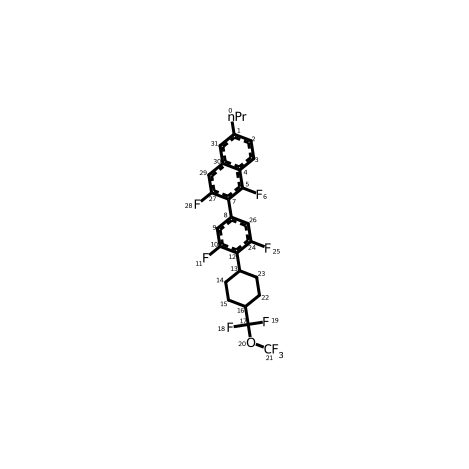 CCCc1ccc2c(F)c(-c3cc(F)c(C4CCC(C(F)(F)OC(F)(F)F)CC4)c(F)c3)c(F)cc2c1